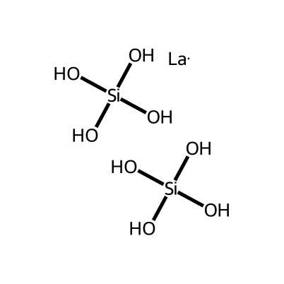 O[Si](O)(O)O.O[Si](O)(O)O.[La]